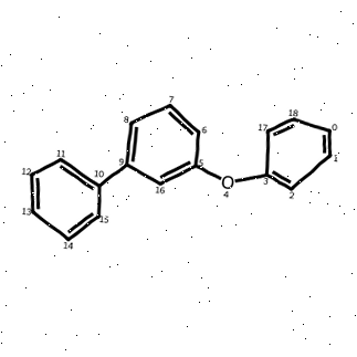 c1ccc(Oc2cccc(-c3ccccc3)c2)cc1